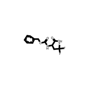 O=C(NC(CC(F)(F)F)C(=O)O)OCc1ccccc1